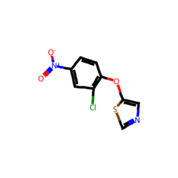 O=[N+]([O-])c1ccc(Oc2cncs2)c(Cl)c1